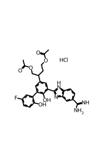 CC(=O)OCCC(COC(C)=O)c1cc(-c2nc3cc(C(=N)N)ccc3[nH]2)c(O)c(-c2cc(F)ccc2O)c1.Cl